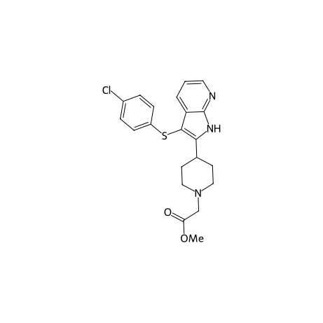 COC(=O)CN1CCC(c2[nH]c3ncccc3c2Sc2ccc(Cl)cc2)CC1